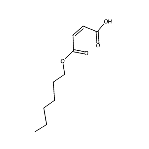 CCCCCCOC(=O)/C=C\C(=O)O